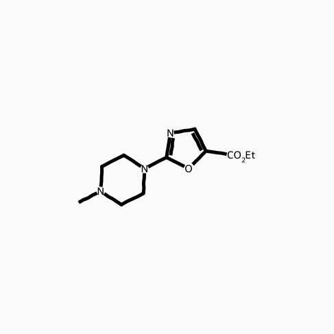 CCOC(=O)c1cnc(N2CCN(C)CC2)o1